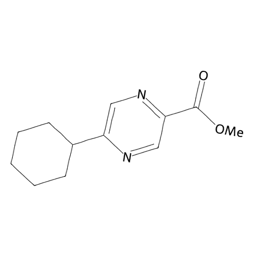 COC(=O)c1cnc(C2CCCCC2)cn1